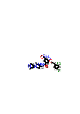 NC(=O)c1cc(OCCc2ccc(Cl)cc2Cl)cc(C(=O)NCC2CCN(c3ccncc3)CC2)c1